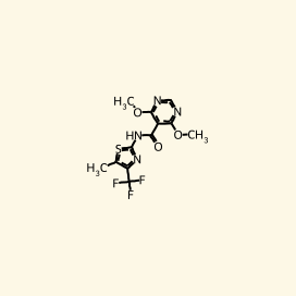 COc1ncnc(OC)c1C(=O)Nc1nc(C(F)(F)F)c(C)s1